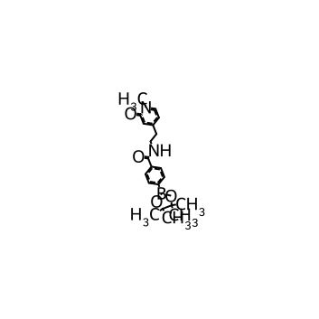 Cn1ccc(CCNC(=O)c2ccc(B3OC(C)(C)C(C)(C)O3)cc2)cc1=O